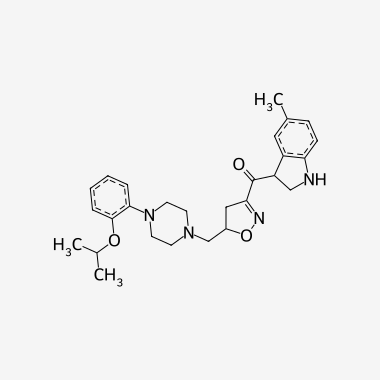 Cc1ccc2c(c1)C(C(=O)C1=NOC(CN3CCN(c4ccccc4OC(C)C)CC3)C1)CN2